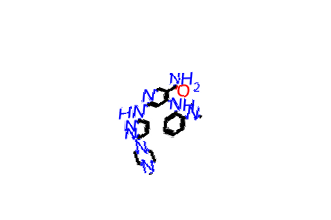 CN1CCN(c2ccc(Nc3cc(Nc4ccccc4N(C)C)c(C(N)=O)cn3)nn2)CC1